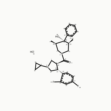 C[C@@H]1CN(C(=O)[C@@H]2CN(C3CC3)C[C@H]2c2ccc(F)cc2F)C[C@H](C)[C@]1(O)c1ccccc1.Cl